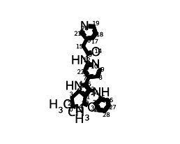 CC1(C)Cc2[nH]c(-c3ccnc(NC(=O)Cc4cccnc4)c3)c(Nc3ccccc3)c2C(=O)N1